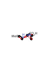 COc1ccc(Cc2ccccc2NCCOc2ccc(CC(Nc3ccccc3C(=O)c3ccccc3)C(=O)O)cc2)cc1